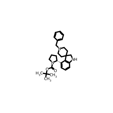 CC(C)(C)OC(=O)N1CCC[C@@H]1c1cccc2c1C1(CCN(Cc3ccccc3)CC1)CN2